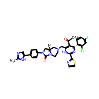 COC(=O)C1=C(CN2CCN3C(=O)N(c4ccc(-c5cnc(C)[nH]5)cc4)C[C@@H]3C2)NC(c2nccs2)=N[C@H]1c1ccc(F)cc1Cl